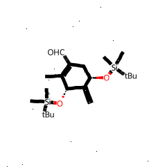 C=C1[C@H](O[Si](C)(C)C(C)(C)C)C(C)=C(C=O)C[C@H]1O[Si](C)(C)C(C)(C)C